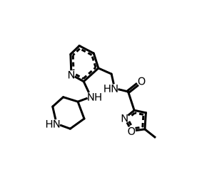 Cc1cc(C(=O)NCc2cccnc2NC2CCNCC2)no1